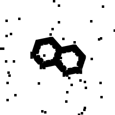 c1cc2ccnnc2nn1